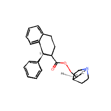 O=C(O[C@H]1CN2CCC1CC2)C1CCc2ccccc2[C@@H]1c1ccccc1